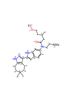 CCOCCC(C)CC(=O)N(CCNC)c1ccc2cc(-c3n[nH]c4c3CCC(C)(C)CC4)[nH]c2c1